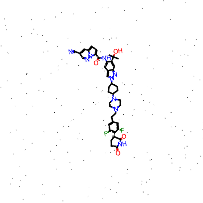 CC(C)(O)c1cc2nn(C3CCC(N4CCN(CCc5cc(F)c([C@H]6CCC(=O)NC6=O)c(F)c5)CC4)CC3)cc2cc1NC(=O)c1ccc2cc(C#N)cnn12